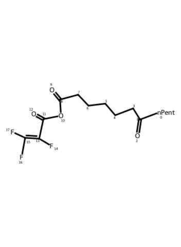 CCCCCC(=O)CCCCCC(=O)OC(=O)C(F)=C(F)F